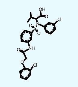 CC(C)C(C(=O)O)N(c1cccc(Cl)c1)S(=O)(=O)c1cccc(NC(=O)COc2ccccc2Cl)c1